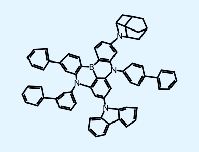 c1ccc(-c2ccc(N3c4cc(N5C6CC7CC(C6)CC5C7)ccc4B4c5ccc(-c6ccccc6)cc5N(c5cccc(-c6ccccc6)c5)c5cc(-n6c7ccccc7c7ccccc76)cc3c54)cc2)cc1